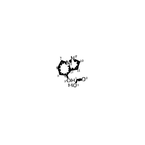 O=CO.Oc1cccn2nccc12